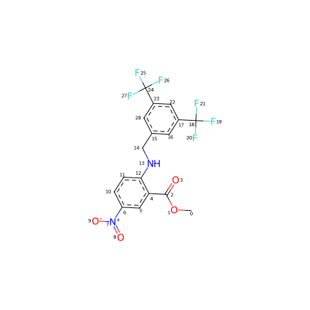 COC(=O)c1cc([N+](=O)[O-])ccc1NCc1cc(C(F)(F)F)cc(C(F)(F)F)c1